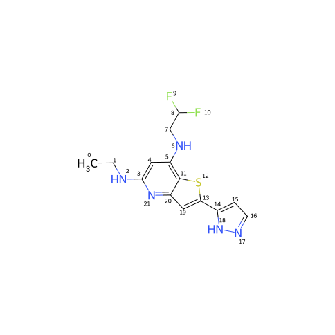 CCNc1cc(NCC(F)F)c2sc(-c3ccn[nH]3)cc2n1